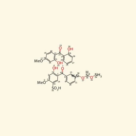 COc1cc(O)c(C(=O)c2ccccc2)cc1S(=O)(=O)O.COc1ccc(C(=O)c2ccccc2O)c(O)c1.[SiH3]O[SiH2]O[SiH3]